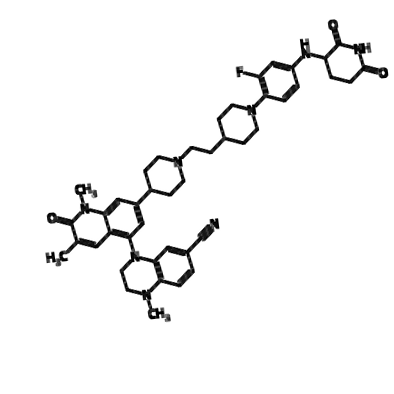 Cc1cc2c(N3CCN(C)c4ccc(C#N)cc43)cc(C3CCN(CCC4CCN(c5ccc(NC6CCC(=O)NC6=O)cc5F)CC4)CC3)cc2n(C)c1=O